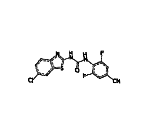 N#Cc1cc(F)c(NC(=O)Nc2nc3ccc(Cl)cc3s2)c(F)c1